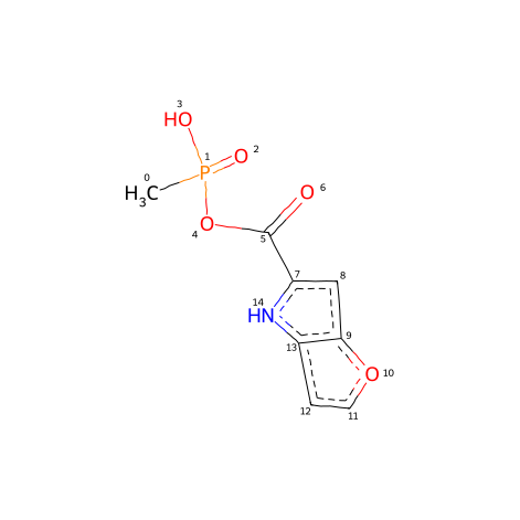 CP(=O)(O)OC(=O)c1cc2occc2[nH]1